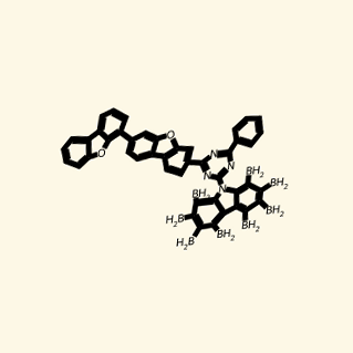 Bc1c(B)c(B)c2c(c1B)c1c(B)c(B)c(B)c(B)c1n2-c1nc(-c2ccccc2)nc(-c2ccc3c(c2)oc2cc(-c4cccc5c4oc4ccccc45)ccc23)n1